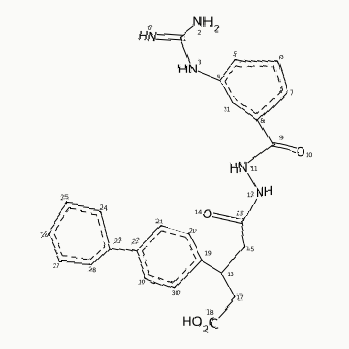 N=C(N)Nc1cccc(C(=O)NNC(=O)CC(CC(=O)O)c2ccc(-c3ccccc3)cc2)c1